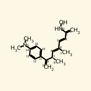 C=C(/C=C/C(C)=C/[C@@H](C)C(=C)c1ccc(N(C)C)cc1)NO